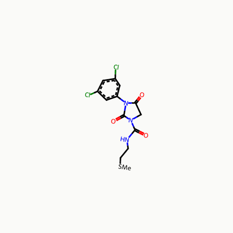 CSCCNC(=O)N1CC(=O)N(c2cc(Cl)cc(Cl)c2)C1=O